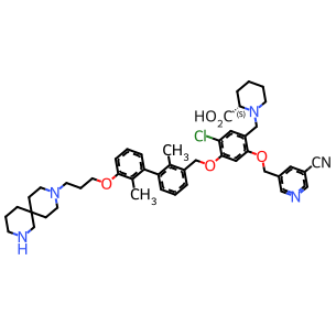 Cc1c(COc2cc(OCc3cncc(C#N)c3)c(CN3CCCC[C@H]3C(=O)O)cc2Cl)cccc1-c1cccc(OCCCN2CCC3(CCCNC3)CC2)c1C